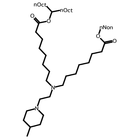 CCCCCCCCCOC(=O)CCCCCCCN(CCCCCCCC(=O)OC(CCCCCCCC)CCCCCCCC)CCN1CCC(C)CC1